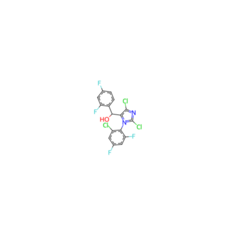 OC(c1ccc(F)cc1F)c1c(Cl)nc(Cl)n1-c1c(F)cc(F)cc1Cl